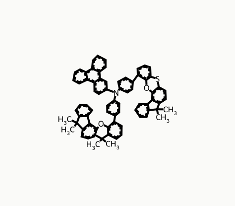 CC1(C)c2cccc(-c3ccc(N(c4ccc(-c5cccc6c5Oc5c(ccc7c5-c5ccccc5C7(C)C)S6)cc4)c4ccc5c6ccccc6c6ccccc6c5c4)cc3)c2Oc2c1ccc1c2-c2ccccc2C1(C)C